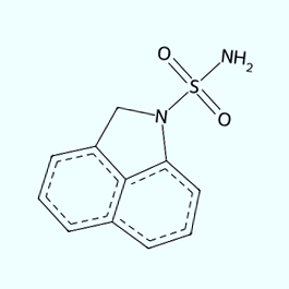 NS(=O)(=O)N1Cc2cccc3cccc1c23